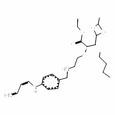 CCCCO[C@@H](C1OC(C)O1)[C@@H](OCCN[C@H](C)c1ccc(N/C=C\C=N)cc1)C(=O)OCC